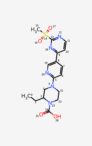 CCC1CN(c2ccc(-c3ccnc(S(C)(=O)=O)n3)cn2)CCN1C(=O)O